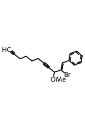 C#CCCCCC#CC(OC)/C(Br)=C/c1ccccc1